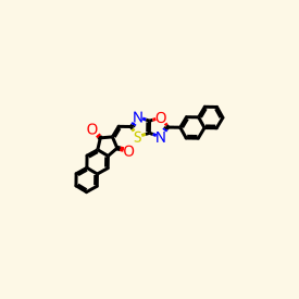 O=C1C(=Cc2nc3oc(-c4ccc5ccccc5c4)nc3s2)C(=O)c2cc3ccccc3cc21